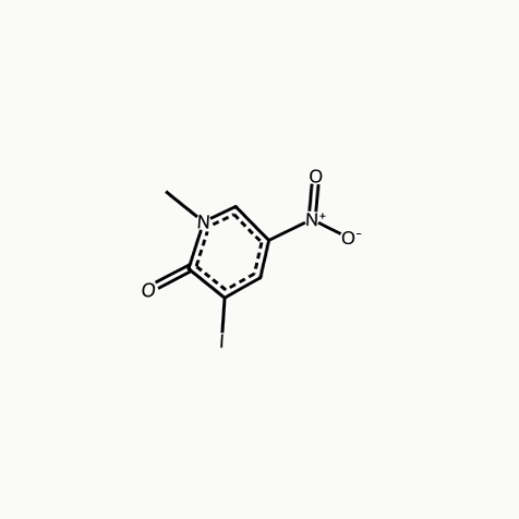 Cn1cc([N+](=O)[O-])cc(I)c1=O